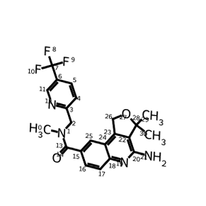 CN(Cc1ccc(C(F)(F)F)cn1)C(=O)c1ccc2nc(N)c3c(c2c1)COC3(C)C